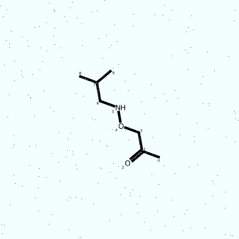 CC(=O)CONCC(C)C